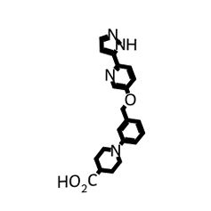 O=C(O)C1CCN(c2cccc(COc3ccc(-c4ccn[nH]4)nc3)c2)CC1